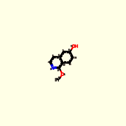 CC(C)Oc1nccc2cc(O)ccc12